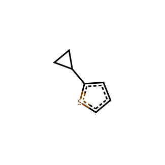 [c]1ccc(C2CC2)s1